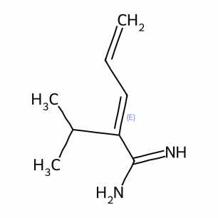 C=C/C=C(/C(=N)N)C(C)C